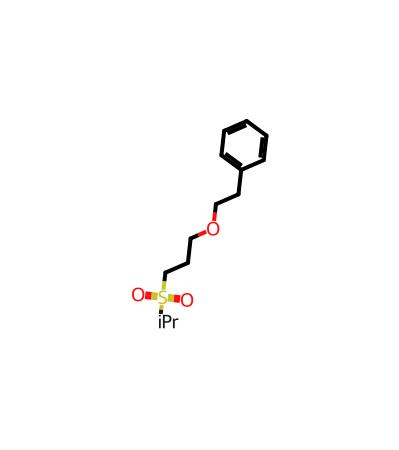 CC(C)S(=O)(=O)CCCOCCc1ccccc1